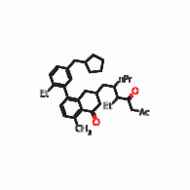 CCCC(CC1CC(=O)c2c(C)ccc(-c3cc(CC4CCCC4)ccc3CC)c2C1)C(CC)C(=O)CC(C)=O